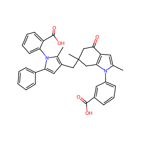 Cc1cc2c(n1-c1cccc(C(=O)O)c1)CC(C)(Cc1cc(-c3ccccc3)n(-c3ccccc3C(=O)O)c1C)CC2=O